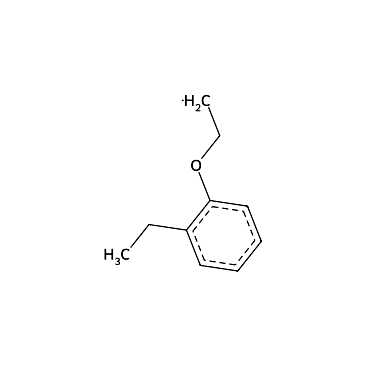 [CH2]COc1ccccc1CC